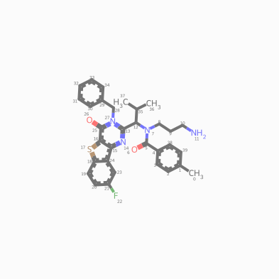 Cc1ccc(C(=O)N(CCCN)C(c2nc3c(sc4ccc(F)cc43)c(=O)n2Cc2ccccc2)C(C)C)cc1